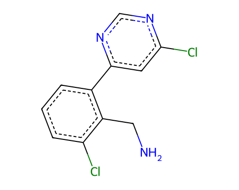 NCc1c(Cl)cccc1-c1cc(Cl)ncn1